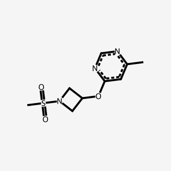 Cc1cc(OC2CN(S(C)(=O)=O)C2)ncn1